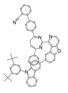 CC(C)(C)c1cc(-n2c3ccccc3c3cc(-c4ccc5oc6ccnc(C7=NC(c8ccccc8)=CCC(c8ccc(-c9ccccc9C#N)cc8)=N7)c6c5c4)ccc32)cc(C(C)(C)C)c1